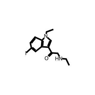 CCNCC(=O)c1cn(CC)c2ccc(I)cc12